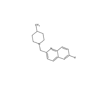 CC1CCN(Cc2ccc3cc(F)ccc3n2)CC1